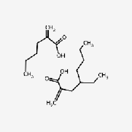 C=C(CC(CC)CCCC)C(=O)O.C=C(CCCC)C(=O)O